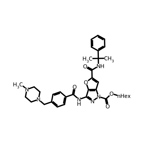 CCCCCCOC(=O)n1nc(NC(=O)c2ccc(CN3CCN(C)CC3)cc2)c2oc(C(=O)NC(C)(C)c3ccccc3)cc21